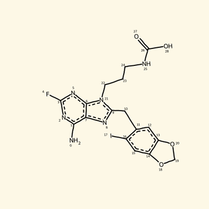 Nc1nc(F)nc2c1nc(Cc1cc3c(cc1I)OCO3)n2CCCNC(=O)O